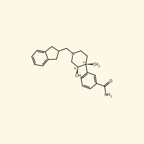 C[C@H]1CN(CC2Cc3ccccc3C2)CC[C@]1(C)c1cccc(C(N)=O)c1